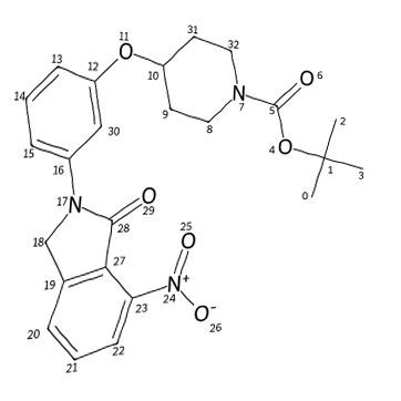 CC(C)(C)OC(=O)N1CCC(Oc2cccc(N3Cc4cccc([N+](=O)[O-])c4C3=O)c2)CC1